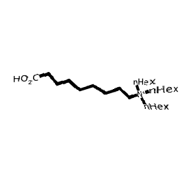 CCCCCC[N+](CCCCCC)(CCCCCC)CCCCCCCCC(=O)O